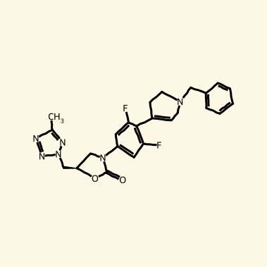 Cc1nnn(C[C@H]2CN(c3cc(F)c(C4=CCN(Cc5ccccc5)CC4)c(F)c3)C(=O)O2)n1